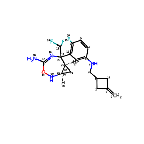 C=C1CC(CNc2ccc(F)c([C@@]3(C(F)F)N=C(N)ON[C@@H]4C[C@@H]43)c2)C1